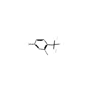 Cc1cc(Cl)ccc1C(Cl)(Cl)Cl